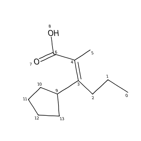 CCCC(=C(C)C(=O)O)C1CCCC1